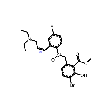 CCN(CC)C/C=C\c1cc(F)ccc1[S+]([O-])Cc1ccc(Br)c(O)c1C(=O)OC